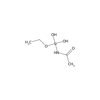 CCO[Si](O)(O)NC(C)=O